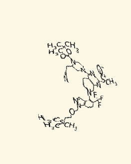 C[S+]([O-])c1nc2c(c(N3CCN(C(=O)OC(C)(C)C)C(CC#N)C3)n1)CCN(c1c(C(F)(F)F)ccc3c1cnn3COCC[Si](C)(C)C)C2